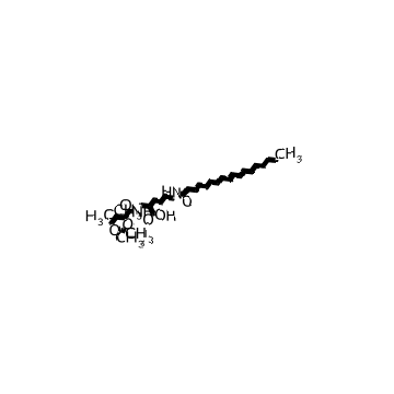 CCCCCCCCC=CCCCCCCCC(=O)NCCCCC(CNC(=O)C1OC(C)(C)OCC1(C)C)C(=O)O